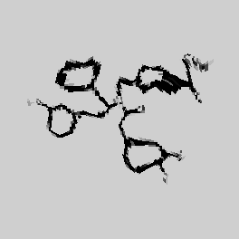 COC(=O)c1ccc(CN(C(=O)Cc2ccc(Cl)c(Cl)c2)C(CN2CCC(O)C2)c2ccccc2)cc1